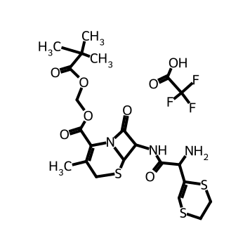 CC1=C(C(=O)OCOC(=O)C(C)(C)C)N2C(=O)C(NC(=O)C(N)C3=CSCCS3)C2SC1.O=C(O)C(F)(F)F